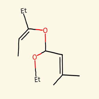 CC=C(CC)OC(C=C(C)C)OCC